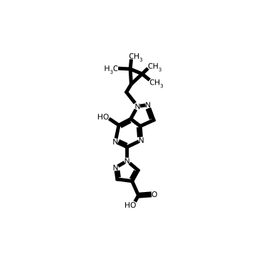 CC1(C)C(Cn2ncc3nc(-n4cc(C(=O)O)cn4)nc(O)c32)C1(C)C